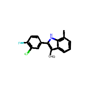 Cc1cccc2c(C=O)c(-c3ccc(F)c(Cl)c3)[nH]c12